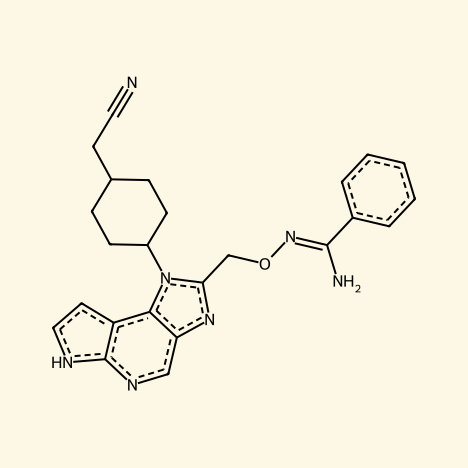 N#CCC1CCC(n2c(CO/N=C(\N)c3ccccc3)nc3cnc4[nH]ccc4c32)CC1